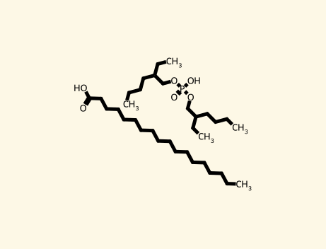 CCCCC(CC)COP(=O)(O)OCC(CC)CCCC.CCCCCCCCCCCCCCCCCC(=O)O